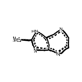 CSc1nc2nccnc2[nH]1